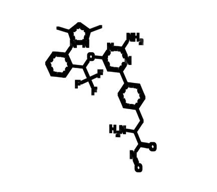 Cc1cc(C)n(-c2ccccc2C(Oc2cc(-c3ccc(CC(N)C(=O)N=O)cc3)nc(N)n2)C(F)(F)F)n1